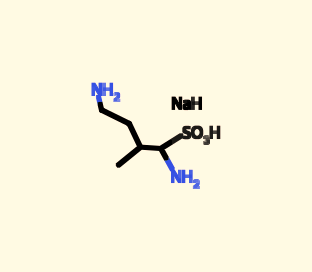 CC(CCN)C(N)S(=O)(=O)O.[NaH]